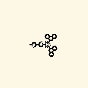 Cc1ccc(-c2ccc(-c3nc(-c4cc5ccccc5c5ccccc45)nc(-c4cc5ccccc5c5ccccc45)n3)nc2)cn1